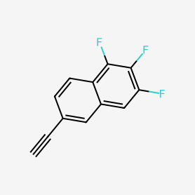 C#Cc1ccc2c(F)c(F)c(F)cc2c1